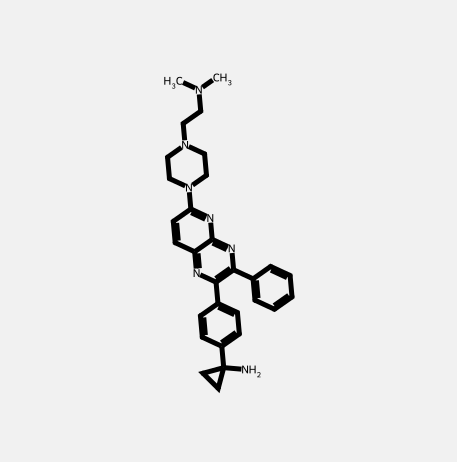 CN(C)CCN1CCN(c2ccc3nc(-c4ccc(C5(N)CC5)cc4)c(-c4ccccc4)nc3n2)CC1